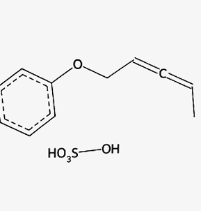 CC=C=CCOc1ccccc1.O=S(=O)(O)O